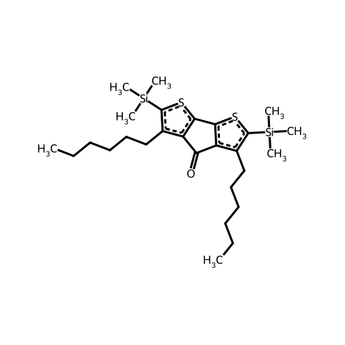 CCCCCCc1c([Si](C)(C)C)sc2c1C(=O)c1c-2sc([Si](C)(C)C)c1CCCCCC